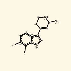 CC1C=C(c2c[nH]c3c(F)c(F)ccc23)CCN1